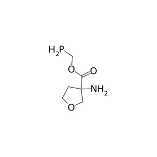 NC1(C(=O)OCP)CCOC1